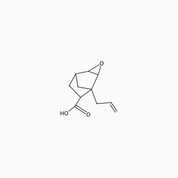 C=CCC12CC(CC1C(=O)O)C1OC12